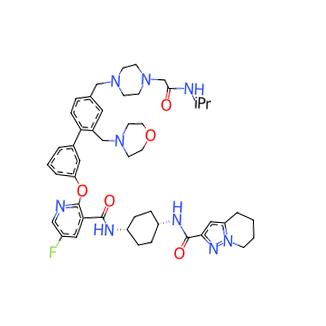 CC(C)NC(=O)CN1CCN(Cc2ccc(-c3cccc(Oc4ncc(F)cc4C(=O)N[C@H]4CC[C@@H](NC(=O)c5cc6n(n5)CCCC6)CC4)c3)c(CN3CCOCC3)c2)CC1